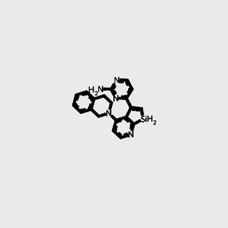 Nc1nccc(C2=C[SiH2]c3nccc(N4CCc5ccccc5C4)c32)n1